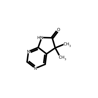 CC1(C)C(=O)Nc2ncncc21